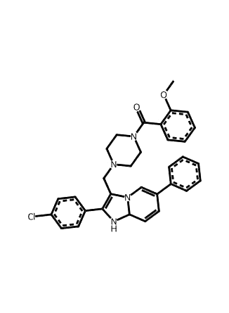 COc1ccccc1C(=O)N1CCN(CC2=C(c3ccc(Cl)cc3)NC3C=CC(c4ccccc4)=CN23)CC1